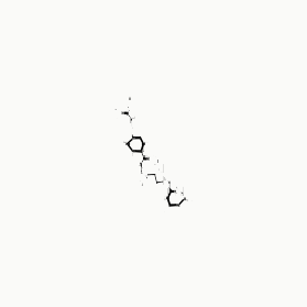 COC(=O)COc1ccc(C(=O)CN(C)CCNc2ccccn2)cc1